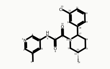 Cc1cncc(NC(=O)C(=O)N2C[C@@H](C)CCC2c2cccc(Cl)c2)c1